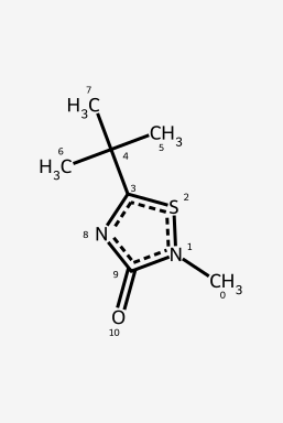 Cn1sc(C(C)(C)C)nc1=O